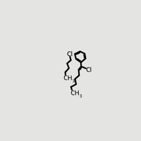 CCCCCC=C(Cl)c1ccccc1.CCCCCCl